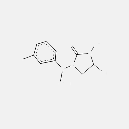 CN1C(=O)N(N(C(=O)O)c2cccc(Cl)c2)CC1O